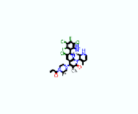 C=CC(=O)N1CCN(c2c(C#N)c(=O)n(C3=C(C)C=CNC3C(C)C)c3nc(-c4c(N)c(Cl)c(F)c(Cl)c4F)c(Cl)cc23)C[C@H]1C